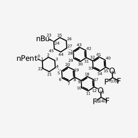 CCCCC[C@H]1CC[C@H](c2ccc(-c3ccc(OC(F)F)cc3)cc2)CC1.CCCC[C@H]1CC[C@H](c2ccc(-c3ccc(OC(F)F)cc3)cc2)CC1